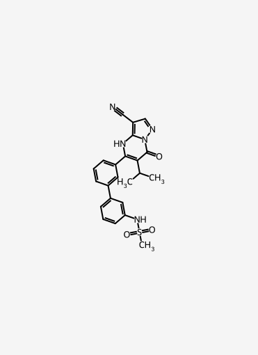 CC(C)c1c(-c2cccc(-c3cccc(NS(C)(=O)=O)c3)c2)[nH]c2c(C#N)cnn2c1=O